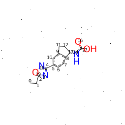 CCc1nc(-c2ccc3c(c2)CCC3NC(=O)O)no1